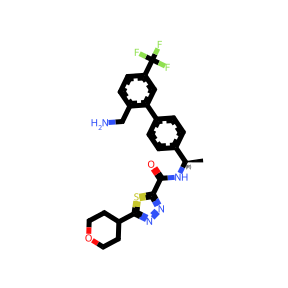 C[C@@H](NC(=O)c1nnc(C2CCOCC2)s1)c1ccc(-c2cc(C(F)(F)F)ccc2CN)cc1